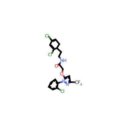 O=C(COc1cc(C(F)(F)F)nn1-c1ccccc1Cl)NCCC1CC=C(Cl)C=C1Cl